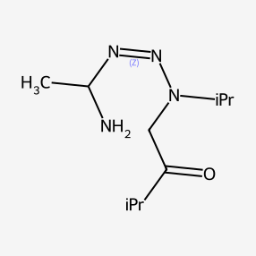 CC(N)/N=N\N(CC(=O)C(C)C)C(C)C